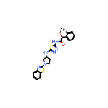 COC(C(=O)Nc1nnc(N[C@@H]2CCN(c3nc4ccccc4s3)C2)s1)c1ccccc1